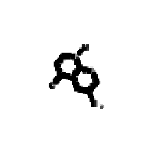 CCn1ccc(=O)c2cc(N)cnc21